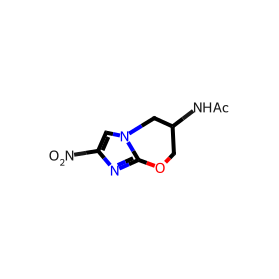 CC(=O)NC1COc2nc([N+](=O)[O-])cn2C1